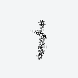 COc1cc2c(Oc3ccc(NC(=O)c4csc(N5CCCCC5)n4)nc3)ccnc2cc1OCCCN1CCOCC1